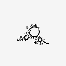 C#CCO[C@H]1[C@H](N(C)C)[C@@H](O)[C@H](O[C@@H]2[C@@H](C)[C@H](O[C@H]3C[C@@](C)(OC)[C@@H](O)[C@H](C)O3)[C@@H](C)C(=O)O[C@H](CC)[C@@](C)(O)[C@H](O)[C@@H](C)N(C)C[C@H](C)C[C@@]2(C)O)O[C@@H]1C